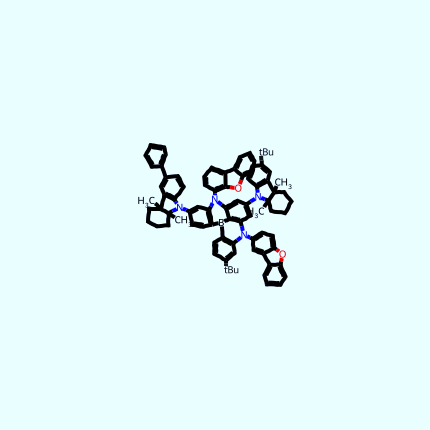 CC(C)(C)c1ccc2c(c1)N(c1ccc3oc4ccccc4c3c1)c1cc(N3c4ccc(C(C)(C)C)cc4C4(C)CCCCC34C)cc3c1B2c1ccc(N2c4ccc(-c5ccccc5)cc4C4(C)CCCCC24C)cc1N3c1cccc2c1oc1ccccc12